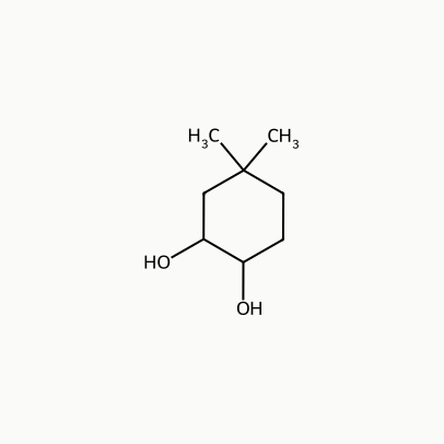 CC1(C)CCC(O)C(O)C1